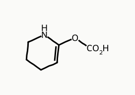 O=C(O)OC1=CCCCN1